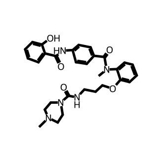 CN1CCN(C(=O)NCCCOc2ccccc2N(C)C(=O)c2ccc(NC(=O)c3ccccc3O)cc2)CC1